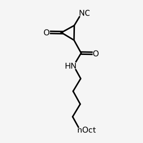 [C-]#[N+]C1C(=O)C1C(=O)NCCCCCCCCCCCC